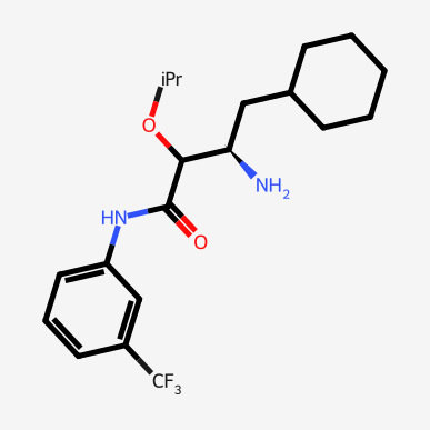 CC(C)OC(C(=O)Nc1cccc(C(F)(F)F)c1)[C@H](N)CC1CCCCC1